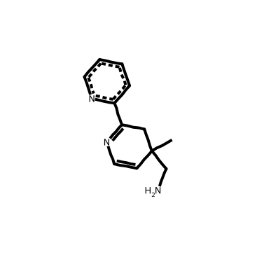 CC1(CN)C=CN=C(c2ccccn2)C1